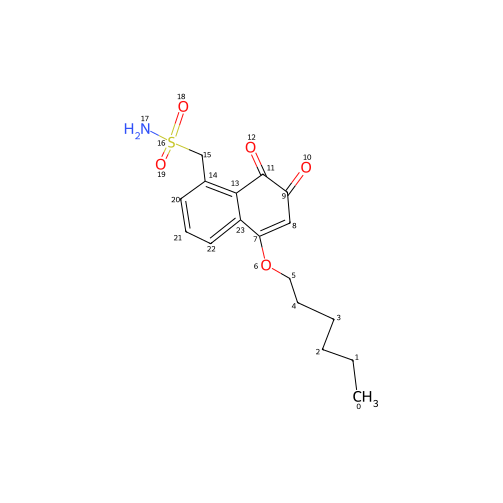 CCCCCCOC1=CC(=O)C(=O)c2c(CS(N)(=O)=O)cccc21